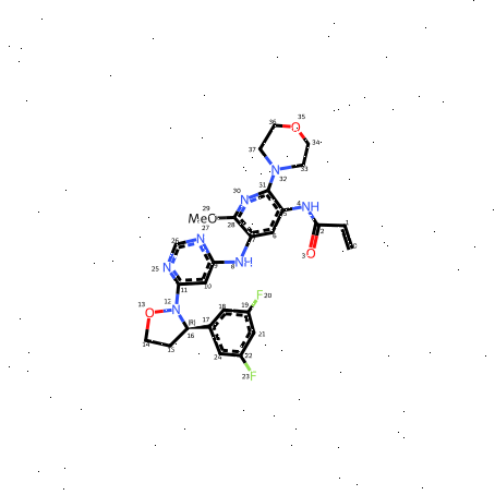 C=CC(=O)Nc1cc(Nc2cc(N3OCC[C@@H]3c3cc(F)cc(F)c3)ncn2)c(OC)nc1N1CCOCC1